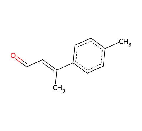 C/C(=C\C=O)c1ccc(C)cc1